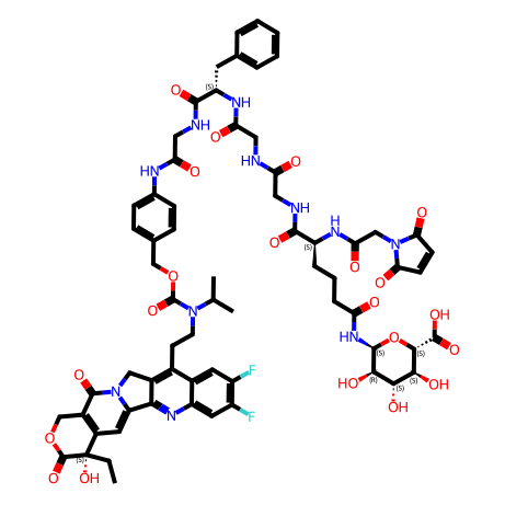 CC[C@@]1(O)C(=O)OCc2c1cc1n(c2=O)Cc2c-1nc1cc(F)c(F)cc1c2CCN(C(=O)OCc1ccc(NC(=O)CNC(=O)[C@H](Cc2ccccc2)NC(=O)CNC(=O)CNC(=O)[C@H](CCCC(=O)N[C@H]2O[C@H](C(=O)O)[C@@H](O)[C@H](O)[C@H]2O)NC(=O)CN2C(=O)C=CC2=O)cc1)C(C)C